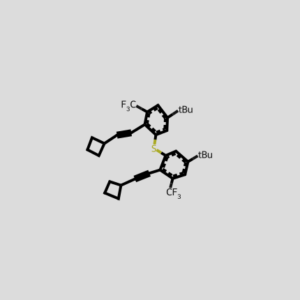 CC(C)(C)c1cc(Sc2cc(C(C)(C)C)cc(C(F)(F)F)c2C#CC2CCC2)c(C#CC2CCC2)c(C(F)(F)F)c1